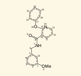 COc1cccc(CNC(=O)c2cccnc2Oc2ccccc2)c1